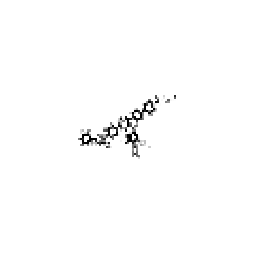 CCOC(=O)CN1CCC(C2CCN(C(=O)[C@@H](Cc3cc(Cl)c(N)c(C(F)(F)F)c3)OC(=O)N3CCC(n4nc(-c5ccccc5)[nH]c4=O)CC3)CC2)CC1